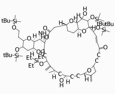 C=C1C(O[Si](CC)(CC)CC)C[C@@H]2O[C@H]3CC(O[Si](C)(C)C(C)(C)C)C(CCO[Si](C)(C)C(C)(C)C)O[C@H]3[C@H](N)[C@H]2OC(=O)C[C@H]2CC[C@@H]3O[C@@H](C(O[Si](C)(C)C(C)(C)C)/C=C/C(=O)CCC4CC(=C)[C@H](CC[C@@H](O)C[C@H]1C)O4)C(O[Si](C)(C)C(C)(C)C)[C@@H](O)[C@H]3O2